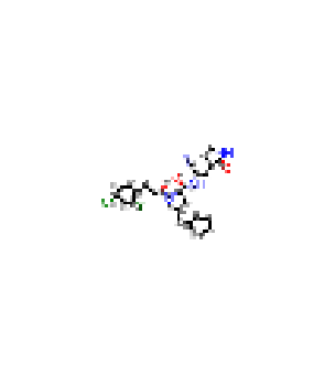 N#CC(CC1CCNC1=O)NC(=O)C1CC(Cc2ccccc2)CN1C(=O)/C=C/c1ccc(Cl)cc1F